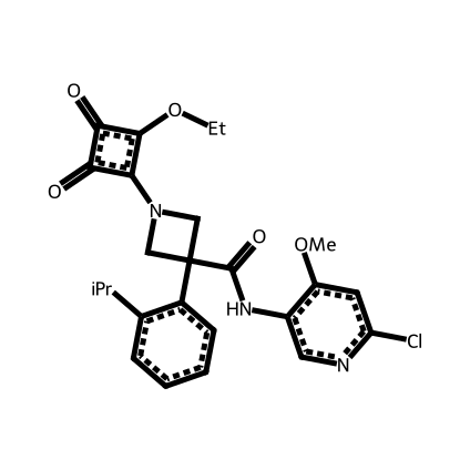 CCOc1c(N2CC(C(=O)Nc3cnc(Cl)cc3OC)(c3ccccc3C(C)C)C2)c(=O)c1=O